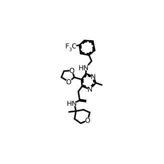 C=C(Cc1nc(C)nc(NCc2cccc(C(F)(F)F)c2)c1C1OCCO1)NC1(C)CCOCC1